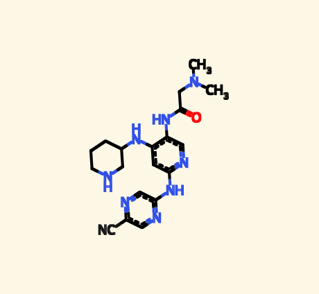 CN(C)CC(=O)Nc1cnc(Nc2cnc(C#N)cn2)cc1NC1CCCNC1